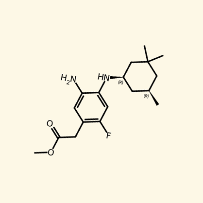 COC(=O)Cc1cc(N)c(N[C@@H]2C[C@H](C)CC(C)(C)C2)cc1F